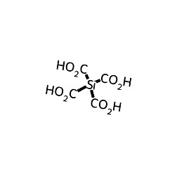 O=C(O)[Si](C(=O)O)(C(=O)O)C(=O)O